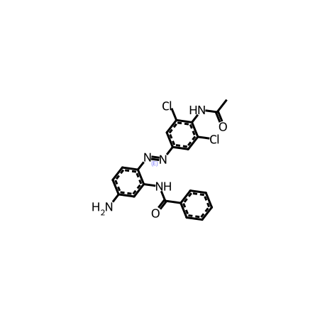 CC(=O)Nc1c(Cl)cc(/N=N/c2ccc(N)cc2NC(=O)c2ccccc2)cc1Cl